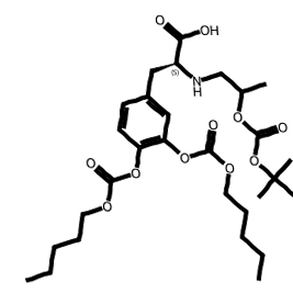 CCCCCOC(=O)Oc1ccc(C[C@H](NCC(C)OC(=O)OC(C)(C)C)C(=O)O)cc1OC(=O)OCCCCC